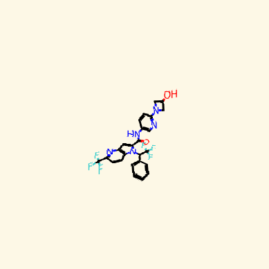 O=C(Nc1ccc(N2CC(O)C2)nc1)c1cc2nc(C(F)(F)F)ccc2n1C(c1ccccc1)C(F)(F)F